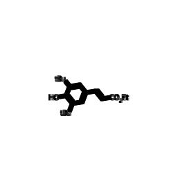 CCOC(=O)C=Cc1cc(C(C)(C)C)c(O)c(C(C)(C)C)c1